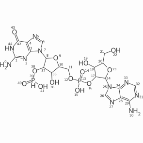 Nc1nc2c(ncn2C2OC(COP(=O)(O)OC3C(O)C(CO)OC3n3cnc4c(N)ncnc43)C(O)C2O[PH](=O)O)c(=O)[nH]1